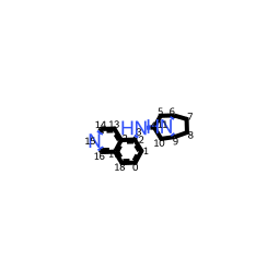 c1cc(NC2CC3CCC(C2)N3)c2ccncc2c1